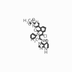 C[C@H](Nc1ncnc2[nH]ccc(=O)c12)c1c(Cl)c2cccc(-c3cnc(S(C)(=O)=O)nc3)c2c(=O)n1-c1ccccc1